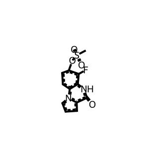 CS(=O)(=O)Oc1ccc2c([nH]c(=O)c3cccn32)c1F